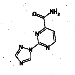 NC(=O)c1ccnc(-n2cncn2)n1